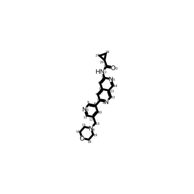 O=C(Nc1cc2cc(-c3cncc(CN4CCOCC4)c3)ncc2cn1)C1CC1